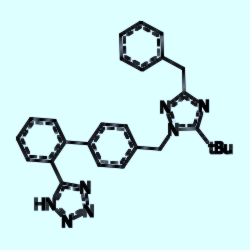 CC(C)(C)c1nc(Cc2ccccc2)nn1Cc1ccc(-c2ccccc2-c2nnn[nH]2)cc1